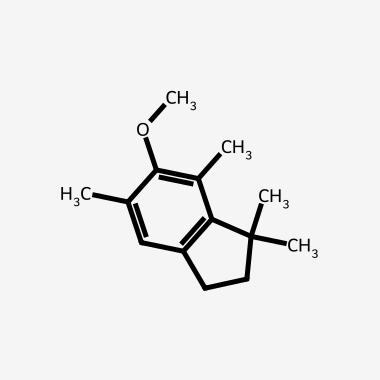 COc1c(C)cc2c(c1C)C(C)(C)CC2